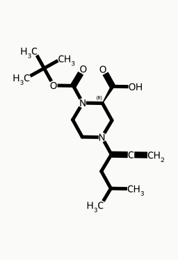 C=C=C(CC(C)C)N1CCN(C(=O)OC(C)(C)C)[C@@H](C(=O)O)C1